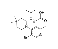 Cc1ncc(Br)c(N2CCC(C)(C)CC2)c1[C@H](OC(C)C)C(=O)O